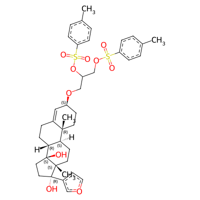 Cc1ccc(S(=O)(=O)OCC(CO[C@@H]2C=C3CC[C@@H]4[C@H](CC[C@]5(C)[C@@](O)(c6ccoc6)CC[C@]45O)[C@@]3(C)CC2)OS(=O)(=O)c2ccc(C)cc2)cc1